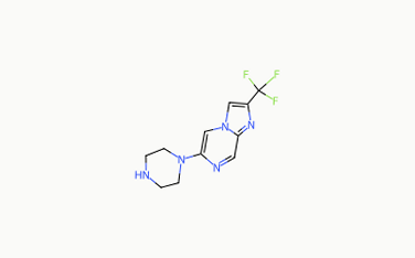 FC(F)(F)c1cn2cc(N3CCNCC3)ncc2n1